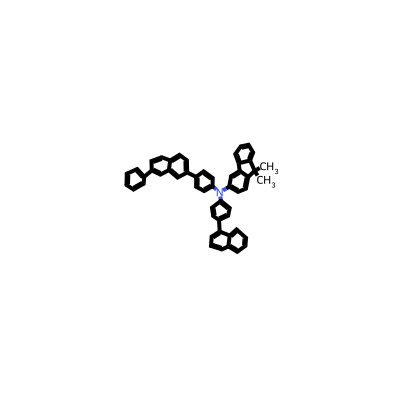 CC1(C)c2ccccc2-c2cc(N(c3ccc(-c4ccc5ccc(-c6ccccc6)cc5c4)cc3)c3ccc(-c4cccc5ccccc45)cc3)ccc21